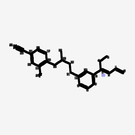 C=C/C=C(\CC)c1cccc(CCC(C)Cc2ccc(C#N)cc2F)c1